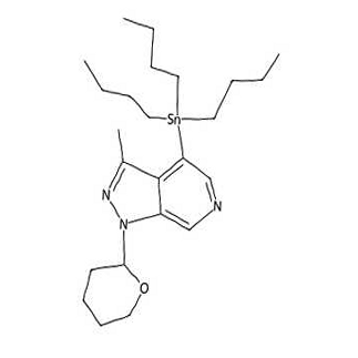 CCC[CH2][Sn]([CH2]CCC)([CH2]CCC)[c]1cncc2c1c(C)nn2C1CCCCO1